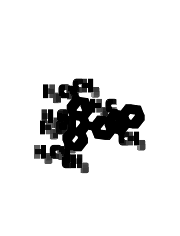 CN(C)c1ccc2c(c1)[Si](C)(C)C1=CC(=[N+](C)C)C=CC1=C2c1ccc2c(c1)C1(C)OOC2(C)C2C=CC=CC21